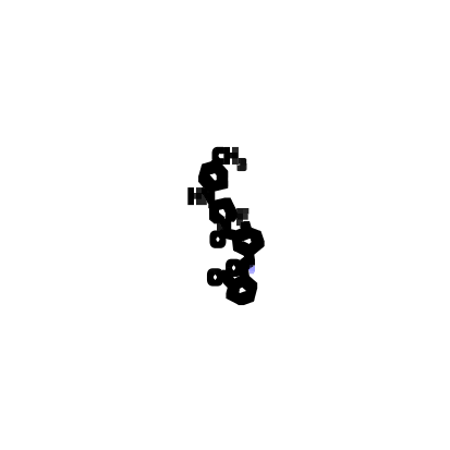 Cc1ccc(NC2CCN(C(=O)c3cc(/C=C4\OC(=O)c5ccccc54)ccc3F)C2)cc1